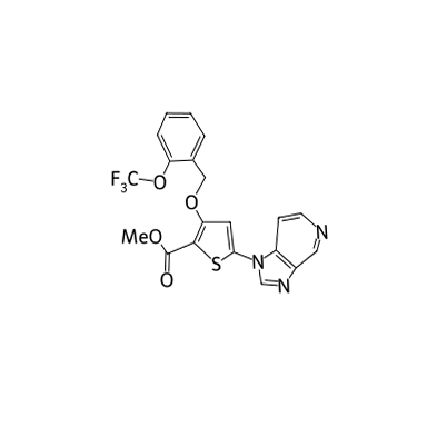 COC(=O)c1sc(-n2cnc3cnccc32)cc1OCc1ccccc1OC(F)(F)F